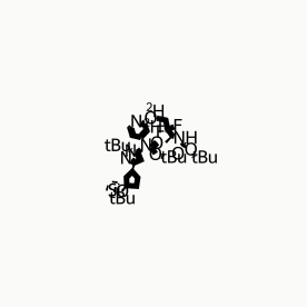 [2H]C([2H])(CC(F)(F)[C@H](C)NC(=O)OC(C)(C)C)Oc1cc(N(C(=O)OC(C)(C)C)c2cc([C@H]3CC[C@@H](O[Si](C)(C)C(C)(C)C)C3)nn2C(C)(C)C)ccn1